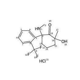 CNC1(c2ccccc2C(F)(F)F)CCCC(C)(O)C1=O.Cl